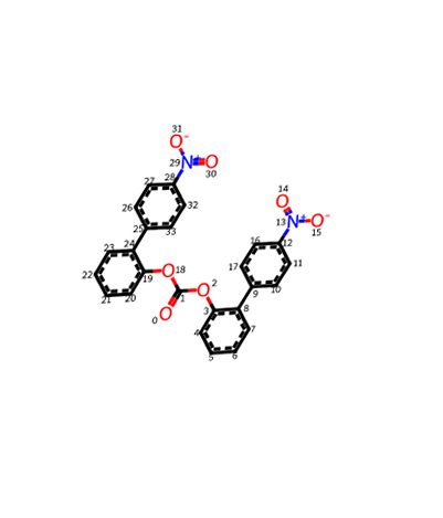 O=C(Oc1ccccc1-c1ccc([N+](=O)[O-])cc1)Oc1ccccc1-c1ccc([N+](=O)[O-])cc1